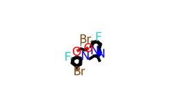 Cc1nc2cc(F)c(Br)cn2c1CN1C(=O)[C@@H](C)Oc2c(F)cc(Br)cc21